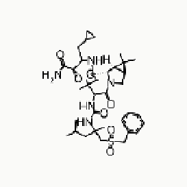 CC(C)CC(C)(CS(=O)(=O)Cc1ccccc1)NC(=O)N[C@H](C(=O)N1CC2[C@@H]([C@H]1C(=O)NC(CC1CC1)C(=O)C(N)=O)C2(C)C)C(C)(C)C